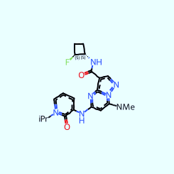 CNc1cc(Nc2cccn(C(C)C)c2=O)nc2c(C(=O)N[C@H]3CC[C@@H]3F)cnn12